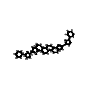 c1ccc(-c2ccc(-c3cc4ccc5c6ccc7c(ccc8cc(-c9ccc(-c%10ccccc%10)s9)sc87)c6ccc5c4s3)s2)cc1